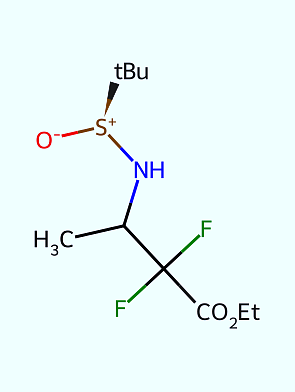 CCOC(=O)C(F)(F)C(C)N[S@@+]([O-])C(C)(C)C